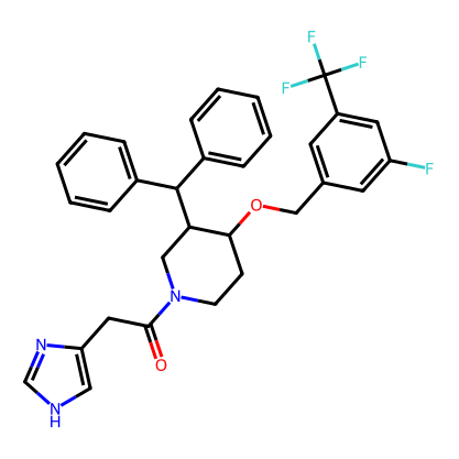 O=C(Cc1c[nH]cn1)N1CCC(OCc2cc(F)cc(C(F)(F)F)c2)C(C(c2ccccc2)c2ccccc2)C1